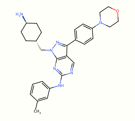 Cc1cccc(Nc2ncc3c(-c4ccc(N5CCOCC5)cc4)nn(C[C@H]4CC[C@H](N)CC4)c3n2)c1